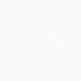 OC1(O)c2ncccc2C(Cl)=CC1Cl